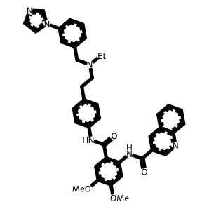 CCN(CCc1ccc(NC(=O)c2cc(OC)c(OC)cc2NC(=O)c2cnc3ccccc3c2)cc1)Cc1cccc(-n2ccnc2)c1